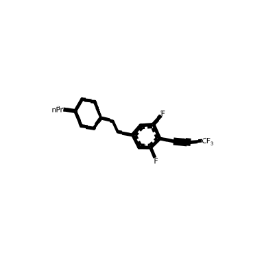 CCCC1CCC(CCc2cc(F)c(C#CC(F)(F)F)c(F)c2)CC1